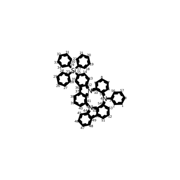 c1ccc(-n2c3ccccc3n3c4ccc([Si](c5ccccc5)(c5ccccc5)c5ccccc5)cc4c4cccc(c43)n3c4ccccc4c4cccc2c43)cc1